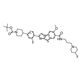 COc1cc2c(cc1C(=O)NCCCN1CCC(F)CC1)sc1nc(-c3ccc(C4CCN(C(=O)OC(C)(C)C)CC4)cc3F)cn12